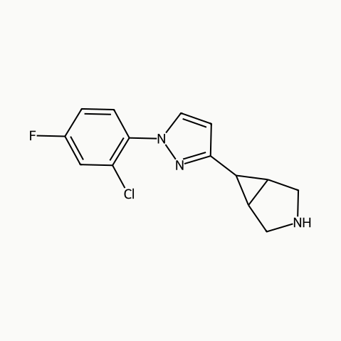 Fc1ccc(-n2ccc(C3C4CNCC43)n2)c(Cl)c1